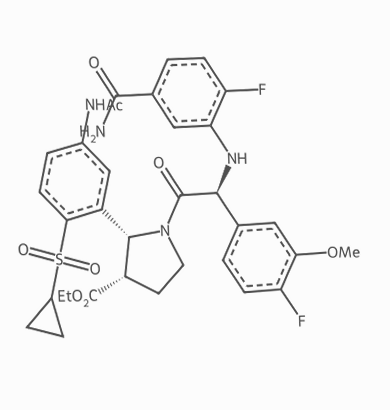 CCOC(=O)[C@H]1CCN(C(=O)[C@@H](Nc2cc(C(N)=O)ccc2F)c2ccc(F)c(OC)c2)[C@H]1c1cc(NC(C)=O)ccc1S(=O)(=O)C1CC1